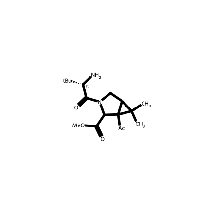 COC(=O)C1N(C(=O)[C@@H](N)C(C)(C)C)CC2C(C)(C)C12C(C)=O